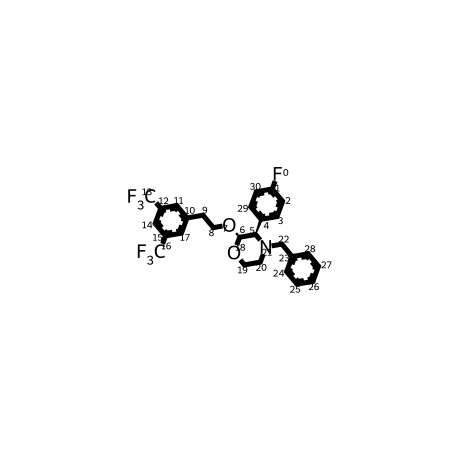 Fc1ccc([C@@H]2[C@@H](OCCc3cc(C(F)(F)F)cc(C(F)(F)F)c3)OCCN2Cc2ccccc2)cc1